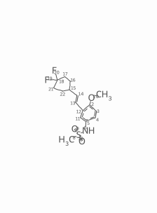 COc1ccc(NS(C)(=O)=O)cc1/C=C/C1CCC(F)(F)CC1